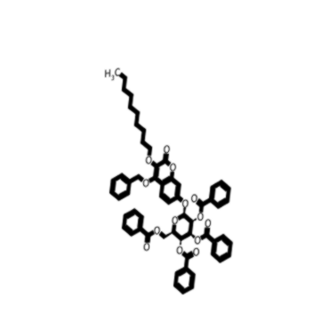 CCCCCCCCCCOc1c(OCc2ccccc2)c2ccc(O[C@@H]3O[C@H](COC(=O)c4ccccc4)[C@@H](OC(=O)c4ccccc4)[C@H](OC(=O)c4ccccc4)[C@H]3OC(=O)c3ccccc3)cc2oc1=O